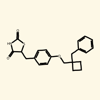 O=C1NC(=O)C(Cc2ccc(OCC3(Cc4ccccc4)CCC3)cc2)S1